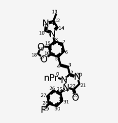 CCCN1C(/C=C/c2ccc(-n3cnc(C)c3)c3c2OCO3)=NCC(=O)N1c1ccc(F)cc1